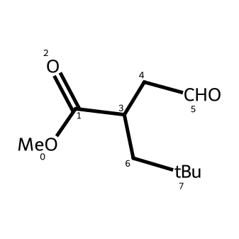 COC(=O)C(CC=O)CC(C)(C)C